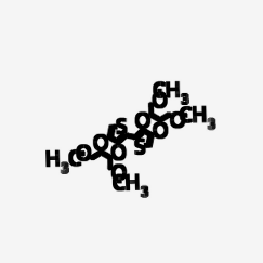 COCC1Oc2csc(-c3scc4c3OC(COC)C(COC)O4)c2OC1COC